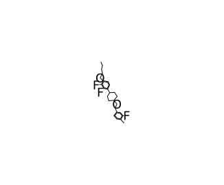 CCCCOc1ccc(C2CCC(OCc3ccc(C)c(F)c3)CC2)c(F)c1F